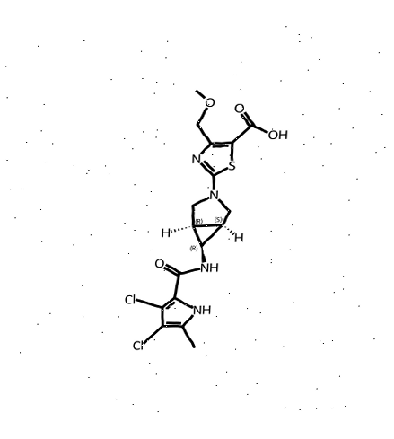 COCc1nc(N2C[C@@H]3[C@H](C2)[C@@H]3NC(=O)c2[nH]c(C)c(Cl)c2Cl)sc1C(=O)O